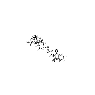 CC(C)(C)[Si](C)(C)Oc1ccc(COCCN2C(=O)c3ccccc3C2=O)cc1